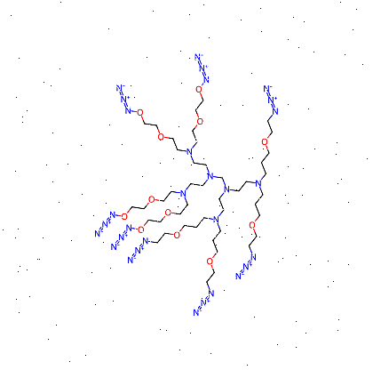 [N-]=[N+]=NCCOCCCN(CCCOCCN=[N+]=[N-])CCN(CCN(CCCOCCN=[N+]=[N-])CCCOCCN=[N+]=[N-])CN(CCN(CCOCCON=[N+]=[N-])CCOCCON=[N+]=[N-])CCN(CCOCCON=[N+]=[N-])CCOCCON=[N+]=[N-]